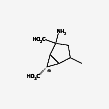 CC1CC(N)(C(=O)O)C2C1[C@@H]2C(=O)O